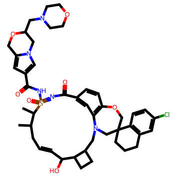 CC1C/C=C/C(O)C2CCC2CN2CC3(CCCc4cc(Cl)ccc43)COc3ccc(cc32)C(=O)N=S(=O)(NC(=O)c2cc3n(c2)CC(CN2CCOCC2)OC3)C1C